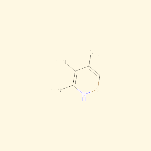 O=[N+]([O-])C1=CSNC([N+](=O)[O-])=C1[N+](=O)[O-]